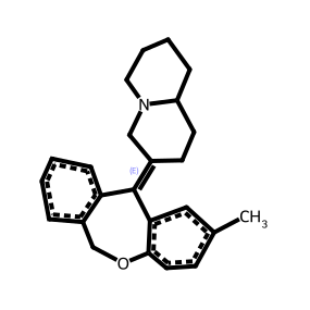 Cc1ccc2c(c1)/C(=C1\CCC3CCCCN3C1)c1ccccc1CO2